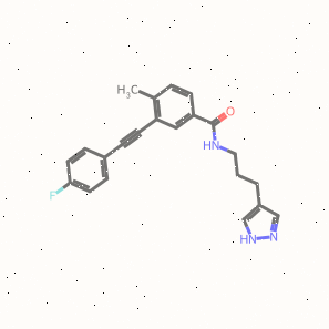 Cc1ccc(C(=O)NCCCc2cn[nH]c2)cc1C#Cc1ccc(F)cc1